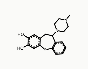 CN1CCN(C2Cc3cc(O)c(O)cc3Sc3ccccc32)CC1